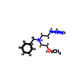 COCCN(CCN=[N+]=[N-])Cc1ccccc1